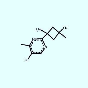 Cc1nc(C2(N)CC(C)(C#N)C2)ncc1Br